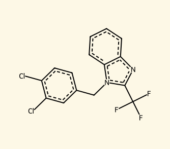 FC(F)(F)c1nc2ccccc2n1Cc1ccc(Cl)c(Cl)c1